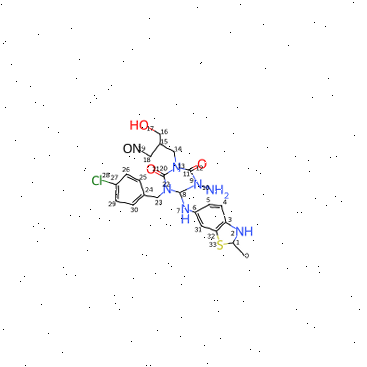 CC1Nc2ccc(NC3N(N)C(=O)N(CC(CO)CN=O)C(=O)N3Cc3ccc(Cl)cc3)cc2S1